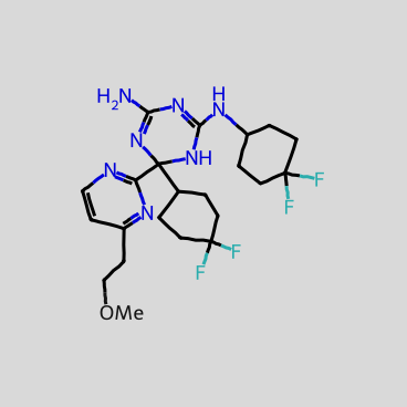 COCCc1ccnc(C2(C3CCC(F)(F)CC3)N=C(N)N=C(NC3CCC(F)(F)CC3)N2)n1